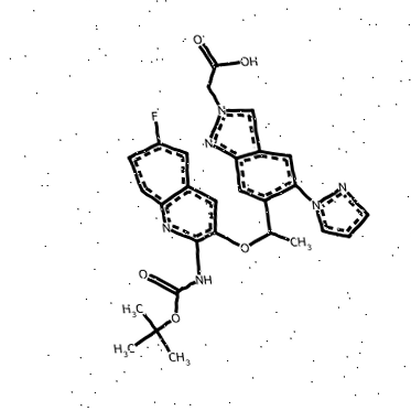 CC(Oc1cc2cc(F)ccc2nc1NC(=O)OC(C)(C)C)c1cc2nn(CC(=O)O)cc2cc1-n1cccn1